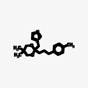 Cc1ccc(CCCC2(Cn3ccnc3)OCC(C)(C)CO2)cc1